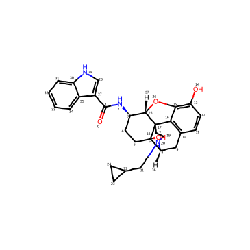 O=C(N[C@@H]1CC[C@@]2(O)[C@H]3Cc4ccc(O)c5c4[C@@]2(CCN3CC2CC2)[C@H]1O5)c1c[nH]c2ccccc12